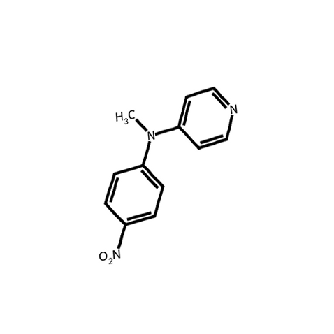 CN(c1ccncc1)c1ccc([N+](=O)[O-])cc1